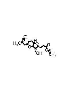 [C-]#[N+][C@H](C)C[C@H]1CC[C@@H]2O[C@@H](CCC(=O)OOC)[C@@H](CO)C2O1